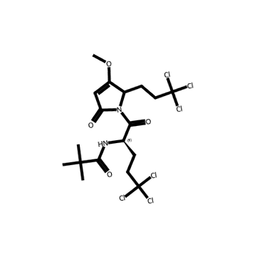 COC1=CC(=O)N(C(=O)[C@@H](CCC(Cl)(Cl)Cl)NC(=O)C(C)(C)C)C1CCC(Cl)(Cl)Cl